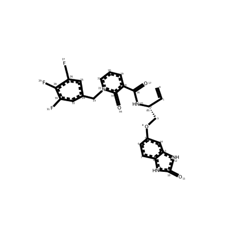 C=C[C@H](COc1ccc2[nH]c(=O)[nH]c2c1)NC(=O)c1cccn(Cc2cc(F)c(F)c(F)c2)c1=O